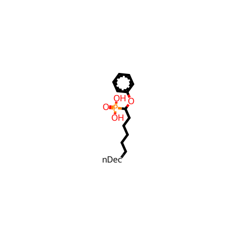 CCCCCCCCCCCCCCCC(Oc1ccccc1)P(=O)(O)O